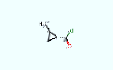 CC1C[C@H]1C(=O)Cl